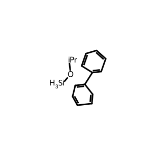 CC(C)O[SiH3].c1ccc(-c2ccccc2)cc1